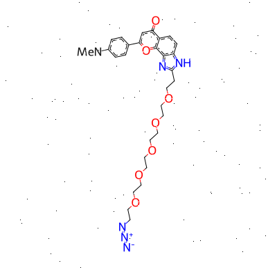 CNc1ccc(-c2cc(=O)c3ccc4[nH]c(CCOCCOCCOCCOCCOCCN=[N+]=[N-])nc4c3o2)cc1